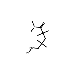 CC(C)NCC(C)(C)CC(C)(C)C(=O)N(C)C